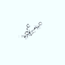 CCN(Cc1ccc(C(=O)NOCc2ccccc2)cc1)C(=O)c1cc(C(C)C)ccc1OCc1ccccc1